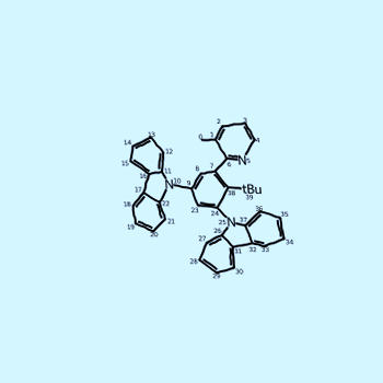 Cc1cccnc1-c1cc(-n2c3ccccc3c3ccccc32)cc(-n2c3ccccc3c3ccccc32)c1C(C)(C)C